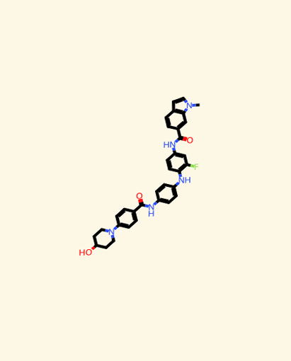 Cn1ccc2ccc(C(=O)Nc3ccc(Nc4ccc(NC(=O)c5ccc(N6CCC(O)CC6)cc5)cc4)c(F)c3)cc21